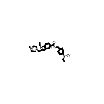 CCn1c(CN2CCN(C)CC2)cc2cc(C(=O)NCc3ccc([S+]([O-])CC)cc3)ccc21